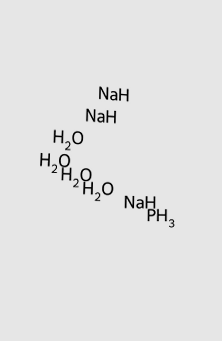 O.O.O.O.P.[NaH].[NaH].[NaH]